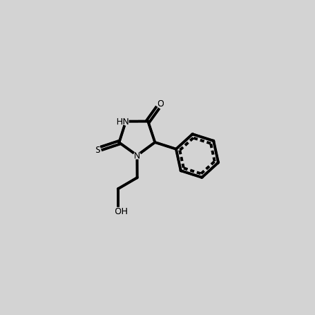 O=C1NC(=S)N(CCO)C1c1ccccc1